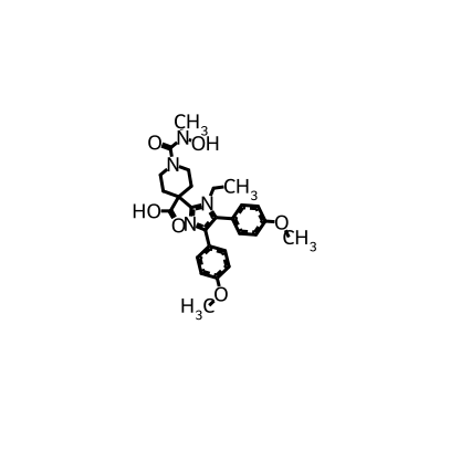 CCn1c(C2(C(=O)O)CCN(C(=O)N(C)O)CC2)nc(-c2ccc(OC)cc2)c1-c1ccc(OC)cc1